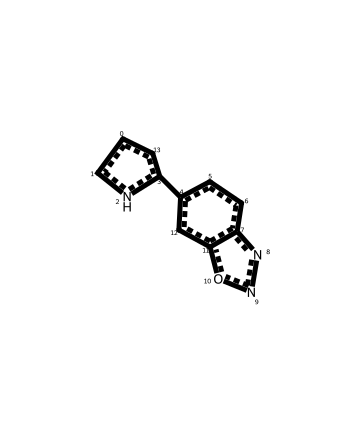 c1c[nH]c(-c2ccc3nnoc3c2)c1